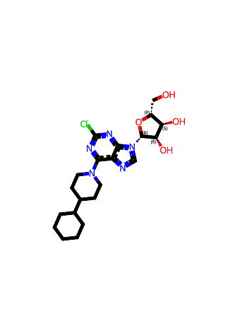 OC[C@H]1O[C@@H](n2cnc3c(N4CCC(C5CCCCC5)CC4)nc(Cl)nc32)[C@H](O)[C@@H]1O